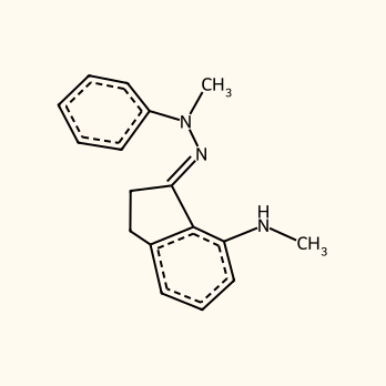 CNc1cccc2c1/C(=N/N(C)c1ccccc1)CC2